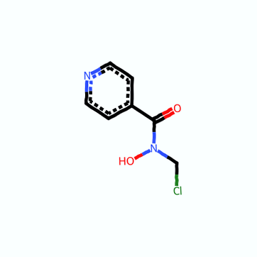 O=C(c1ccncc1)N(O)CCl